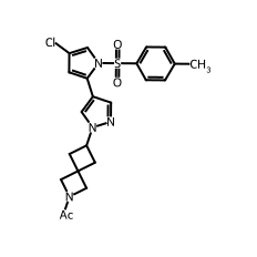 CC(=O)N1CC2(CC(n3cc(-c4cc(Cl)cn4S(=O)(=O)c4ccc(C)cc4)cn3)C2)C1